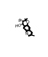 Cc1cnc2cc3c(cc2c1)OC(C)(C)[C@H](Br)[C@H]3O